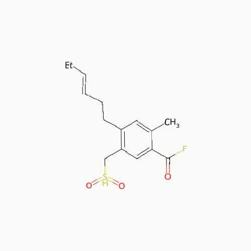 CCC=CCCc1cc(C)c(C(=O)F)cc1C[SH](=O)=O